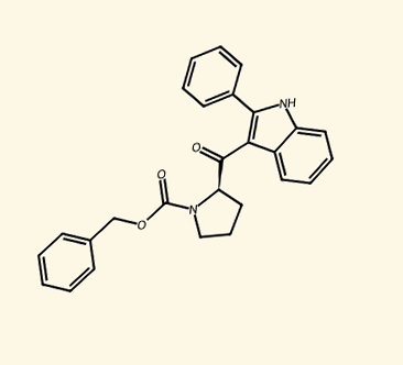 O=C(c1c(-c2ccccc2)[nH]c2ccccc12)[C@H]1CCCN1C(=O)OCc1ccccc1